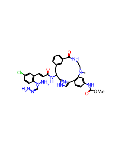 COC(=O)Nc1ccc2c(c1)N(C)CCNC(=O)c1cccc(c1)CC(NC(=O)/C=C/c1cc(Cl)ccc1N(N)/C=N\N)c1nc-2c[nH]1